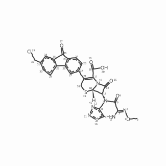 CO/N=C(\N)C(=O)N(c1csnn1)[C@@H]1C(=O)N2C(C(=O)O)=C(c3ccc4c(c3)-c3ccc(CCl)cc3C4=O)CS[C@@H]12